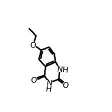 CCOc1ccc2[nH]c(=O)[nH]c(=O)c2c1